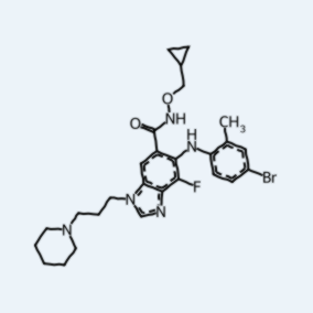 Cc1cc(Br)ccc1Nc1c(C(=O)NOCC2CC2)cc2c(ncn2CCCN2CCCCC2)c1F